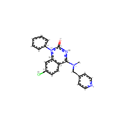 CN(Cc1ccncc1)c1nc(=O)n(-c2ccccc2)c2cc(Cl)ccc12